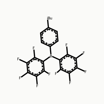 CCC(C)c1ccc(B(c2c(F)c(F)c(F)c(F)c2F)c2c(F)c(F)c(F)c(F)c2F)cc1